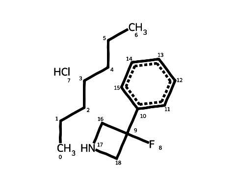 CCCCCCC.Cl.FC1(c2ccccc2)CNC1